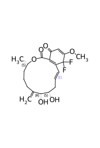 C=C1CCC[C@H](C)OC(=O)C2=C(/C=C/C[C@H](O)[C@@H]1O)C(F)(F)C(OC)=CC2=O